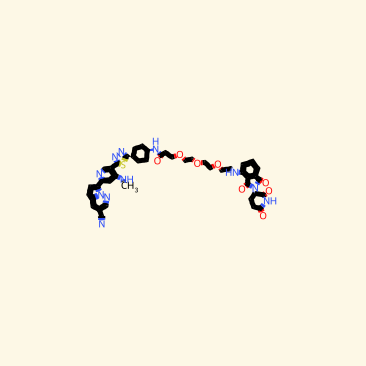 CNc1cc(-c2ccc3cc(C#N)cnn23)ncc1-c1nnc([C@H]2CC[C@H](NC(=O)CCOCCOCCOCCNc3cccc4c3C(=O)N(C3CCC(=O)NC3=O)C4=O)CC2)s1